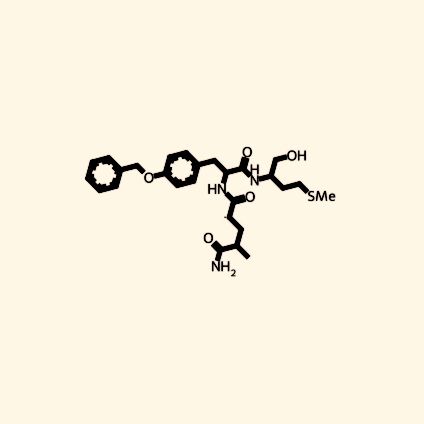 CSCCC(CO)NC(=O)C(Cc1ccc(OCc2ccccc2)cc1)NC(=O)[CH]CC(C)C(N)=O